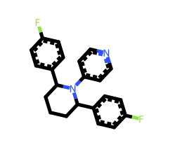 Fc1ccc(C2CCCC(c3ccc(F)cc3)N2c2ccncc2)cc1